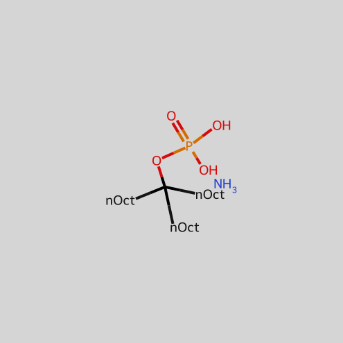 CCCCCCCCC(CCCCCCCC)(CCCCCCCC)OP(=O)(O)O.N